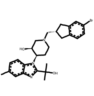 Cc1ccc2c(c1)nc(C(C)(C)O)n2[C@@H]1CCN(C[C@H]2Cc3ccc(Br)cc3C2)C[C@@H]1O